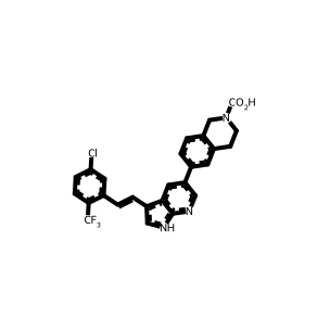 O=C(O)N1CCc2cc(-c3cnc4[nH]cc(C=Cc5cc(Cl)ccc5C(F)(F)F)c4c3)ccc2C1